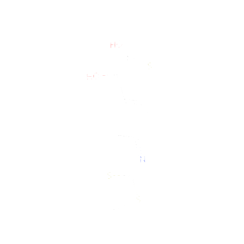 OC(=S)C(O)C1=CCC(=NC2SCCS2)C=C1